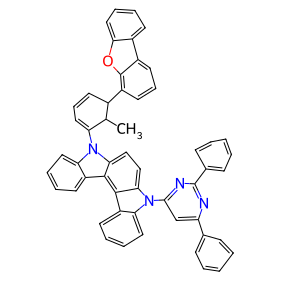 CC1C(n2c3ccccc3c3c4c5ccccc5n(-c5cc(-c6ccccc6)nc(-c6ccccc6)n5)c4ccc32)=CC=CC1c1cccc2c1oc1ccccc12